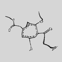 COC(=O)c1cc(OC)c(C(=O)CBr)c(OC)c1